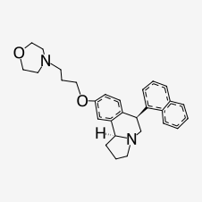 c1ccc2c([C@H]3CN4CCC[C@H]4c4cc(OCCCN5CCOCC5)ccc43)cccc2c1